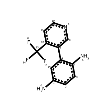 Nc1ccc(N)c(-c2cnccc2C(F)(F)F)c1